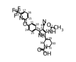 CC(=O)Nc1c(C#N)c(-c2ccc(Oc3cccc(C(F)(F)F)n3)cc2)nn1C1CCCN(C(=O)O)C1